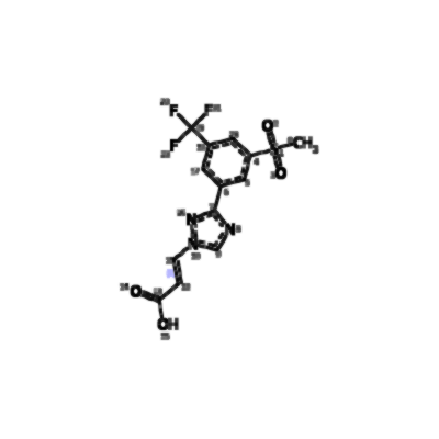 CS(=O)(=O)c1cc(-c2ncn(/C=C/C(=O)O)n2)cc(C(F)(F)F)c1